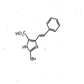 CC(C)(C)c1nc(C=Cc2ccccc2)c(C(=O)O)[nH]1